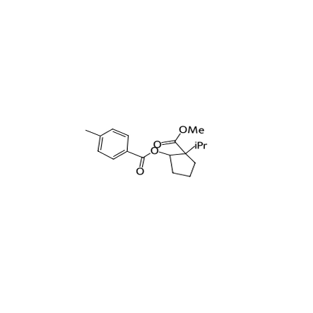 COC(=O)C1(C(C)C)CCCC1OC(=O)c1ccc(C)cc1